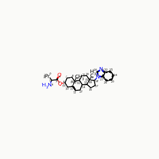 CC(C)C(N)C(=O)O[C@H]1CC[C@@]2(C)C(=CCC3C4CCC(n5cnc6ccccc65)[C@@]4(C)CCC32)C1